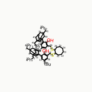 CC(C)CC12CC3CC(CC(C)C)(C1)CC(c1cc(C(C)(C)C)cc(CSC4CCCCCCC4SCc4cc(C(C)(C)C)cc(C56CC7CC(CC(C)C)(CC(CC(C)C)(C7)C5)C6)c4O)c1O)(C3)C2